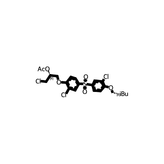 CC[C@@H](C)COc1ccc(S(=O)(=O)c2ccc(OC[C@H](CCl)OC(C)=O)c(Cl)c2)cc1Cl